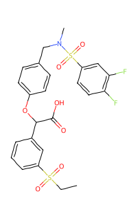 CCS(=O)(=O)c1cccc(C(Oc2ccc(CN(C)S(=O)(=O)c3ccc(F)c(F)c3)cc2)C(=O)O)c1